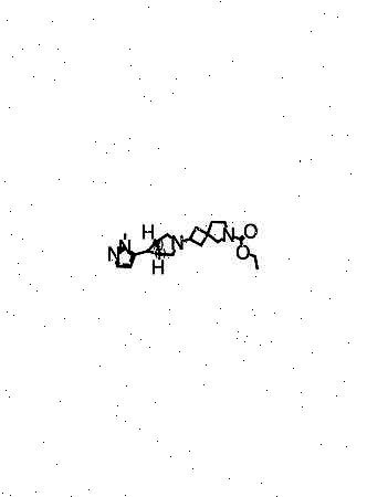 CCOC(=O)N1CCC2(CC(N3C[C@@H]4C(c5ccnn5C)[C@@H]4C3)C2)C1